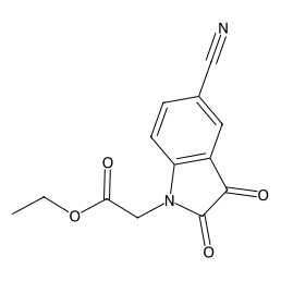 CCOC(=O)CN1C(=O)C(=O)c2cc(C#N)ccc21